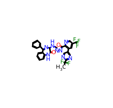 CC(F)(F)c1ncc(-c2cc(C(F)(F)F)cnc2-c2nnc(NC3N=C(c4ccccc4)c4ccccc4NC3=O)o2)cn1